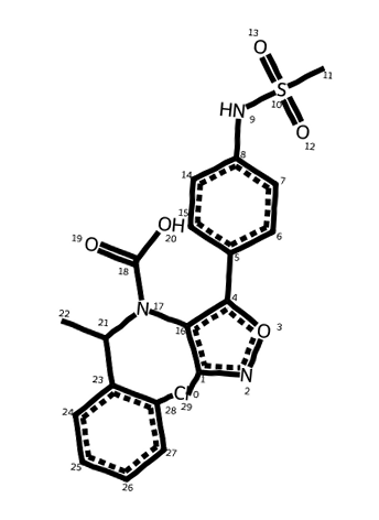 Cc1noc(-c2ccc(NS(C)(=O)=O)cc2)c1N(C(=O)O)C(C)c1ccccc1Cl